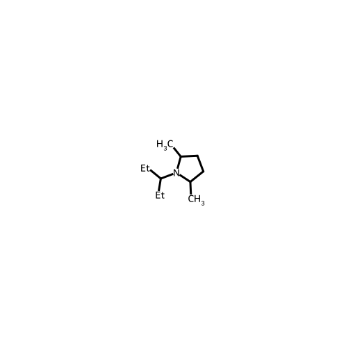 CCC(CC)N1C(C)CCC1C